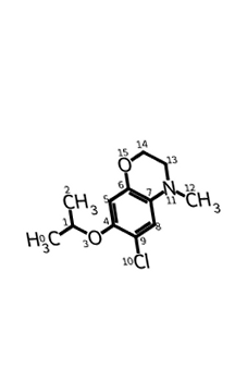 CC(C)Oc1cc2c(cc1Cl)N(C)CCO2